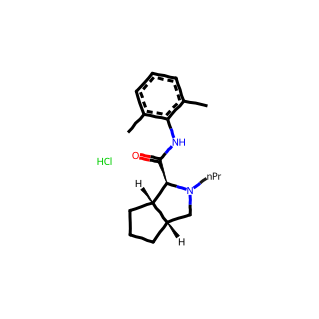 CCCN1C[C@@H]2CCC[C@@H]2[C@H]1C(=O)Nc1c(C)cccc1C.Cl